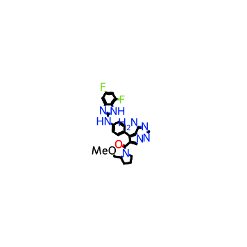 COCC1CCCN1C(=O)c1cn2ncnc(N)c2c1-c1ccc(Nc2nc3cc(F)cc(F)c3[nH]2)cc1